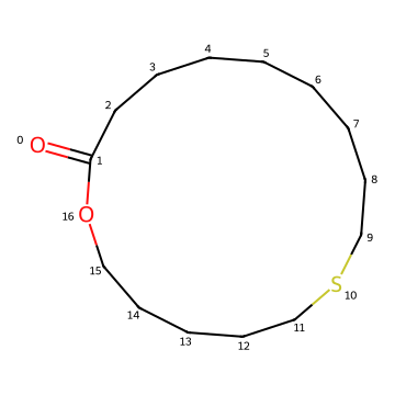 O=C1CCCCCCCCSCCCCCO1